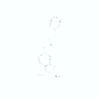 CCn1c(C(=O)O)cc2cc(NC(=O)C(N)Cc3ccccc3)ccc21